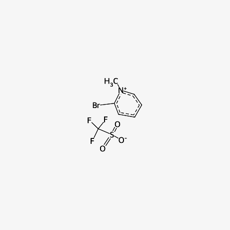 C[n+]1ccccc1Br.O=S(=O)([O-])C(F)(F)F